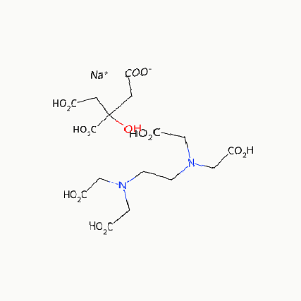 O=C(O)CN(CCN(CC(=O)O)CC(=O)O)CC(=O)O.O=C([O-])CC(O)(CC(=O)O)C(=O)O.[Na+]